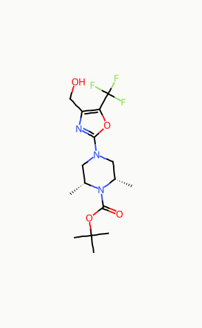 C[C@@H]1CN(c2nc(CO)c(C(F)(F)F)o2)C[C@H](C)N1C(=O)OC(C)(C)C